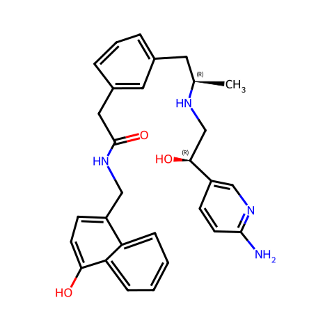 C[C@H](Cc1cccc(CC(=O)NCc2ccc(O)c3ccccc23)c1)NC[C@H](O)c1ccc(N)nc1